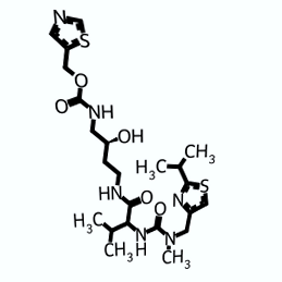 CC(C)c1nc(CN(C)C(=O)NC(C(=O)NCC[C@H](O)CNC(=O)OCc2cncs2)C(C)C)cs1